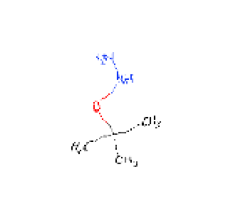 CC(C)(C)ONN